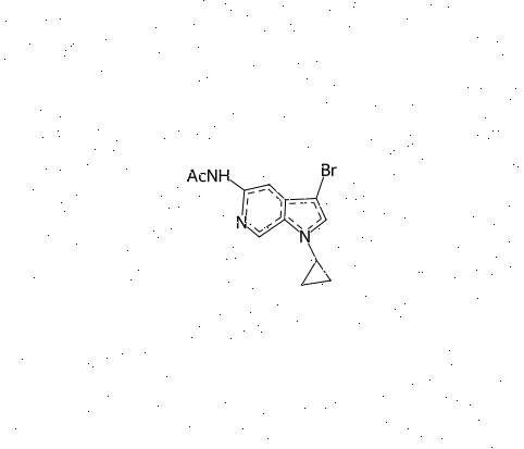 CC(=O)Nc1cc2c(Br)cn(C3CC3)c2cn1